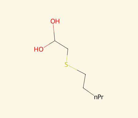 CCCCCSCC(O)O